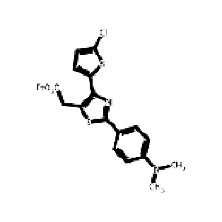 CCOC(=O)Cc1sc(-c2ccc(N(C)C)cc2)nc1-c1ccc(Cl)s1